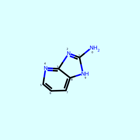 Nc1nc2nc[c]cc2[nH]1